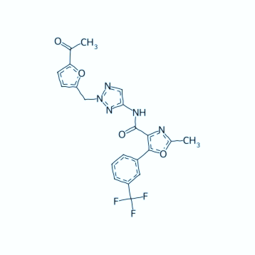 CC(=O)c1ccc(Cn2ncc(NC(=O)c3nc(C)oc3-c3cccc(C(F)(F)F)c3)n2)o1